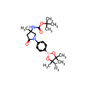 CC1(NC(=O)OC(C)(C)C)CC(=O)N(c2ccc(B3OC(C)(C)C(C)(C)O3)cc2)C1